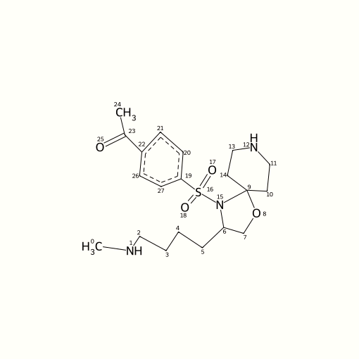 CNCCCCC1COC2(CCNCC2)N1S(=O)(=O)c1ccc(C(C)=O)cc1